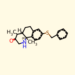 CC1C(=O)CN[C@@]2(C)c3ccc(SCc4ccccc4)cc3CC[C@H]12